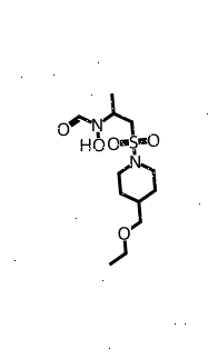 CCOCC1CCN(S(=O)(=O)CC(C)N(O)C=O)CC1